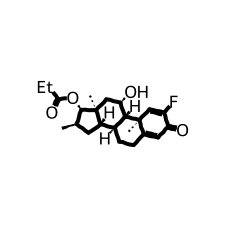 CCC(=O)O[C@H]1[C@H](C)C[C@H]2[C@@H]3CCC4=CC(=O)C(F)=C[C@]4(C)[C@H]3[C@@H](O)C[C@@]21C